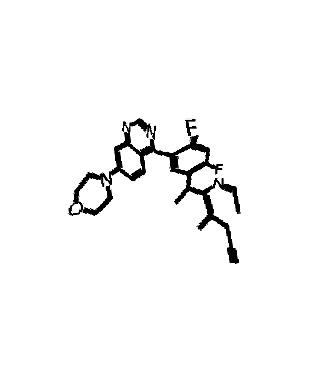 C#CC/C(C)=C(\N=C/C)C(C)c1cc(-c2ncnc3cc(N4CCOCC4)ccc23)c(F)cc1F